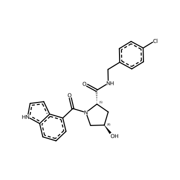 O=C(NCc1ccc(Cl)cc1)[C@@H]1C[C@@H](O)CN1C(=O)c1cccc2[nH]ccc12